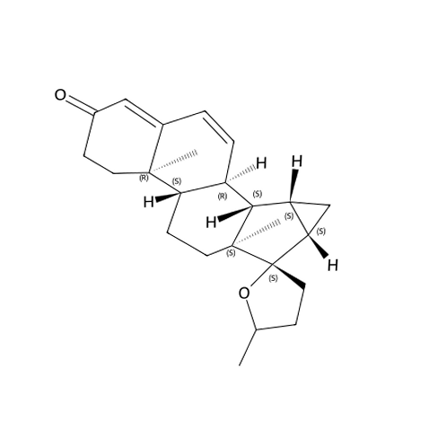 CC1CC[C@]2(O1)[C@H]1C[C@H]1[C@H]1[C@@H]3C=CC4=CC(=O)CC[C@]4(C)[C@H]3CC[C@@]12C